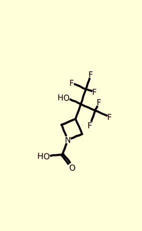 O=C(O)N1CC(C(O)(C(F)(F)F)C(F)(F)F)C1